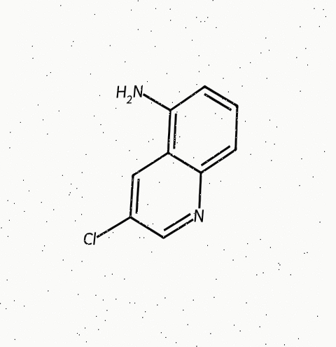 Nc1cccc2ncc(Cl)cc12